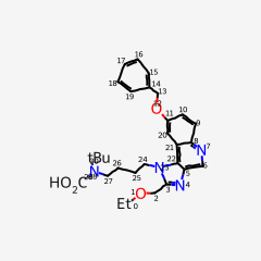 CCOCc1nc2cnc3ccc(OCc4ccccc4)cc3c2n1CCCCN(C(=O)O)C(C)(C)C